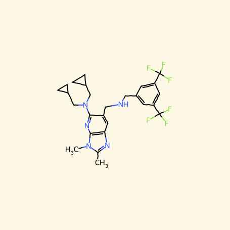 Cc1nc2cc(CNCc3cc(C(F)(F)F)cc(C(F)(F)F)c3)c(N(CC3CC3)CC3CC3)nc2n1C